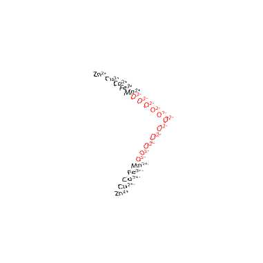 [Co+2].[Co+2].[Cu+2].[Cu+2].[Fe+3].[Fe+3].[Mn+2].[Mn+2].[O-2].[O-2].[O-2].[O-2].[O-2].[O-2].[O-2].[O-2].[O-2].[O-2].[O-2].[Zn+2].[Zn+2]